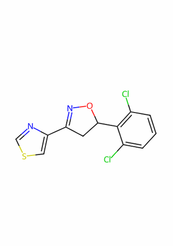 Clc1cccc(Cl)c1C1CC(c2cscn2)=NO1